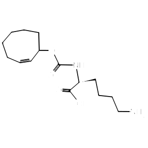 NCCCC[C@H](NC(=O)OC1C=CCCCCC1)C(=O)O